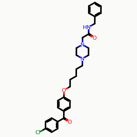 O=C(CN1CCN(CCCCCOc2ccc(C(=O)c3ccc(Cl)cc3)cc2)CC1)NCc1ccccc1